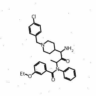 CCOc1cccc(C(=O)N(c2ccccc2)C(C)C(=O)C(N)C2CCN(Cc3ccc(Cl)cc3)CC2)c1